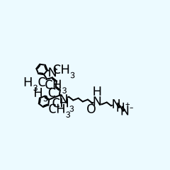 Cc1ccccc1C(C)(C)C(/C=C/C=C1/N(C)c2ccccc2C1(C)C)=N/CCCCCC(=O)NCCCN=[N+]=[N-]